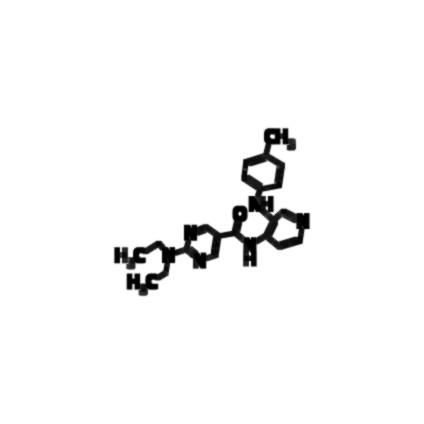 CCN(CC)c1ncc(C(=O)Nc2ccncc2Nc2ccc(C)cc2)cn1